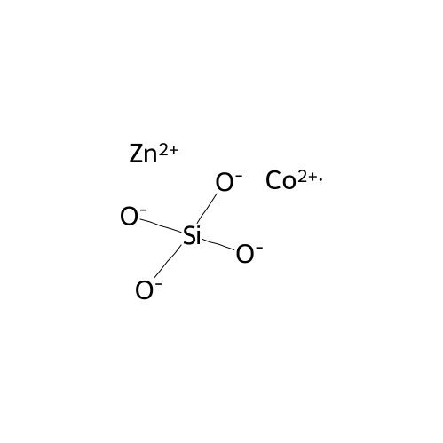 [Co+2].[O-][Si]([O-])([O-])[O-].[Zn+2]